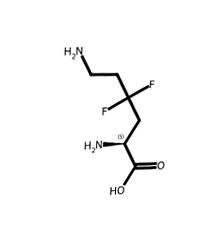 NCCC(F)(F)C[C@H](N)C(=O)O